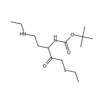 CCNCCC(NC(=O)OC(C)(C)C)C(=O)CSCC